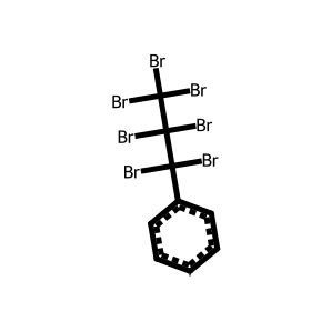 BrC(Br)(Br)C(Br)(Br)C(Br)(Br)c1cc[c]cc1